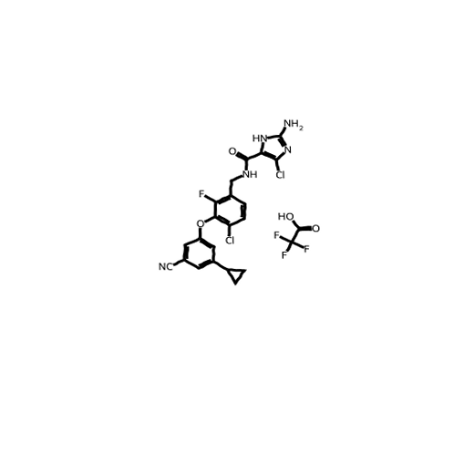 N#Cc1cc(Oc2c(Cl)ccc(CNC(=O)c3[nH]c(N)nc3Cl)c2F)cc(C2CC2)c1.O=C(O)C(F)(F)F